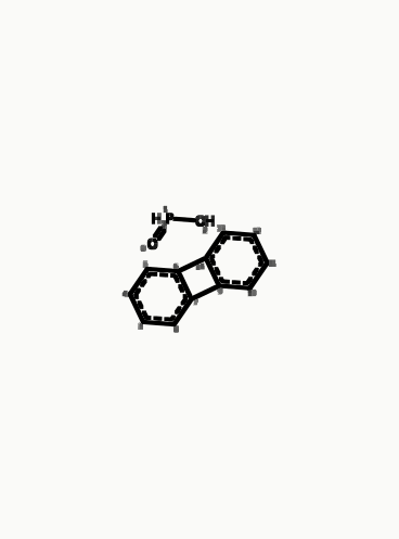 O=[PH2]O.c1ccc2c(c1)-c1ccccc1-2